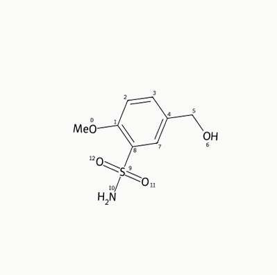 COc1ccc(CO)cc1S(N)(=O)=O